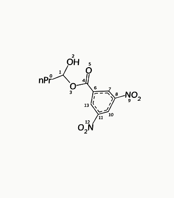 CCCC(O)OC(=O)c1cc([N+](=O)[O-])cc([N+](=O)[O-])c1